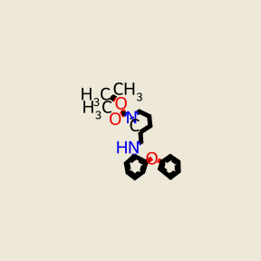 CC(C)(C)OC(=O)N1CCCC(CNc2ccccc2Oc2ccccc2)C1